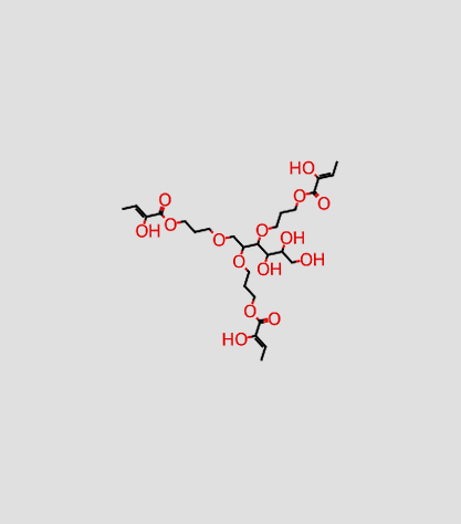 CC=C(O)C(=O)OCCCOCC(OCCCOC(=O)C(O)=CC)C(OCCCOC(=O)C(O)=CC)C(O)C(O)CO